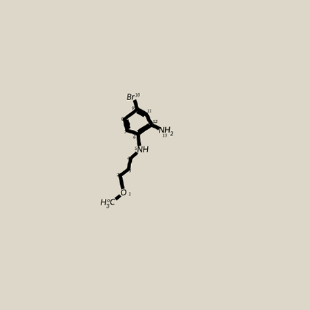 COCCCNc1ccc(Br)cc1N